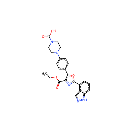 CCOC(=O)c1nc(-c2cccc3[nH]ncc23)oc1-c1ccc(N2CCN(C(=O)O)CC2)cc1